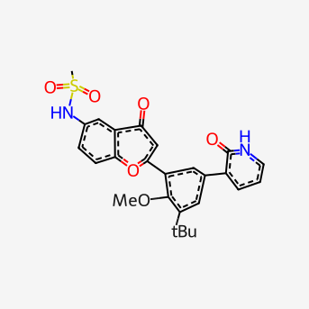 COc1c(-c2cc(=O)c3cc(NS(C)(=O)=O)ccc3o2)cc(-c2ccc[nH]c2=O)cc1C(C)(C)C